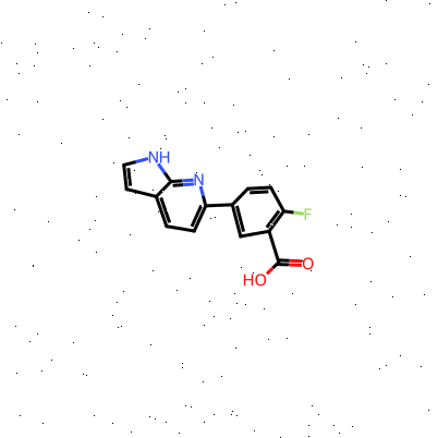 O=C(O)c1cc(-c2ccc3cc[nH]c3n2)ccc1F